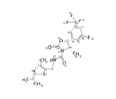 Cc1nc(C(C)C)sc1CNC(=O)N1C(=O)O[C@H](c2cc(F)cc(C(F)(F)F)c2)[C@@H]1C